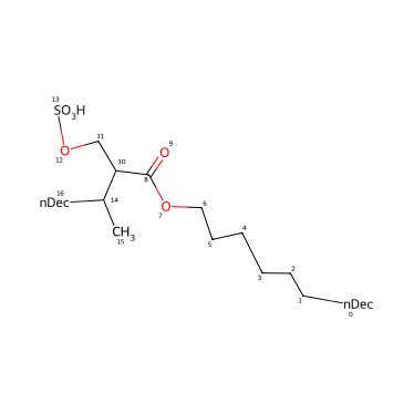 CCCCCCCCCCCCCCCCOC(=O)C(COS(=O)(=O)O)C(C)CCCCCCCCCC